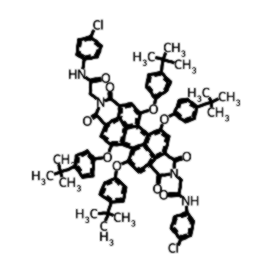 CC(C)(C)c1ccc(Oc2cc3c4c(cc(Oc5ccc(C(C)(C)C)cc5)c5c6c(Oc7ccc(C(C)(C)C)cc7)cc7c8c(cc(Oc9ccc(C(C)(C)C)cc9)c(c2c45)c86)C(=O)N(CC(=O)Nc2ccc(Cl)cc2)C7=O)C(=O)N(CC(=O)Nc2ccc(Cl)cc2)C3=O)cc1